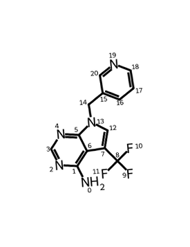 Nc1ncnc2c1c(C(F)(F)F)cn2Cc1cccnc1